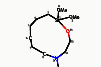 CO[Si]1(OC)CCCCCCN(C)CCO1